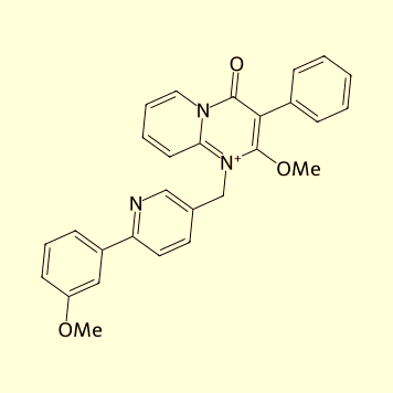 COc1cccc(-c2ccc(C[n+]3c(OC)c(-c4ccccc4)c(=O)n4ccccc43)cn2)c1